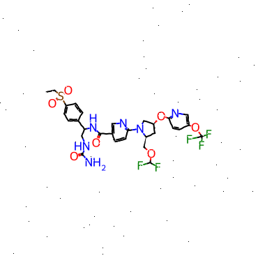 CCS(=O)(=O)c1ccc(C(CNC(N)=O)NC(=O)c2ccc(N3C[C@@H](Oc4ccc(OC(F)(F)F)cn4)C[C@H]3COC(F)F)nc2)cc1